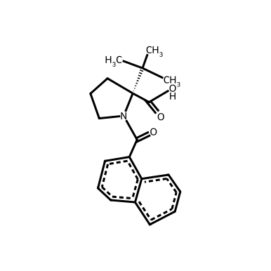 CC(C)(C)[C@@]1(C(=O)O)CCCN1C(=O)c1cccc2ccccc12